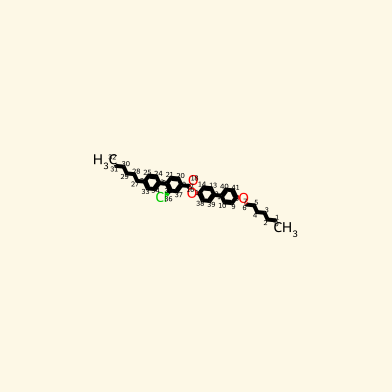 CCCCCCCOc1ccc(-c2ccc(OC(=O)c3ccc(-c4ccc(CCCCCC)cc4)c(Cl)c3)cc2)cc1